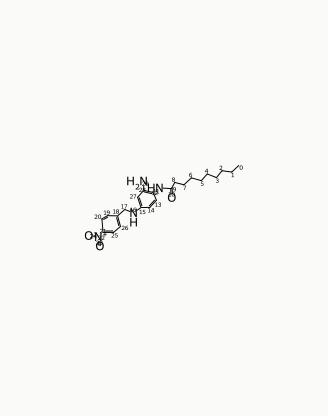 CCCCCCCCCC(=O)Nc1ccc(NCc2ccc([N+](=O)[O-])cc2)cc1N